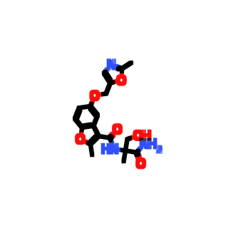 Cc1ncc(COc2ccc3oc(C)c(C(=O)NC(C)(CO)C(N)=O)c3c2)o1